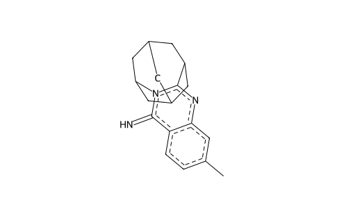 Cc1ccc2c(=N)n3c(nc2c1)C1CC2CC(C1)CC3C2